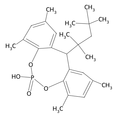 Cc1cc(C)c2c(c1)C(C(C)(C)CC(C)(C)C)c1cc(C)cc(C)c1OP(=O)(O)O2